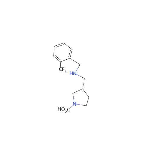 O=C(O)N1CC[C@@H](CNCc2ccccc2C(F)(F)F)C1